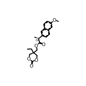 CCC1(COC(=O)[C@@H](C)c2ccc3cc(OC)ccc3c2)COC(=O)OC1